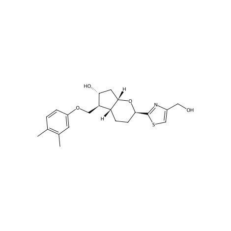 Cc1ccc(OC[C@@H]2[C@H]3CC[C@H](c4nc(CO)cs4)O[C@H]3C[C@H]2O)cc1C